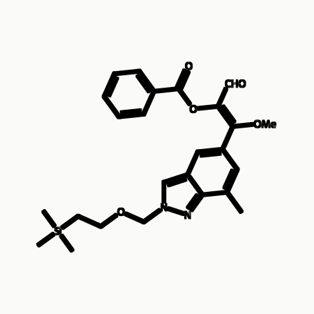 COC(=C(C=O)OC(=O)c1ccccc1)c1cc(C)c2nn(COCC[Si](C)(C)C)cc2c1